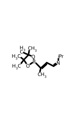 C/C(=C\C=N/C(C)C)B1OC(C)(C)C(C)(C)O1